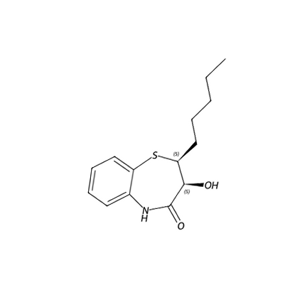 CCCCC[C@@H]1Sc2ccccc2NC(=O)[C@@H]1O